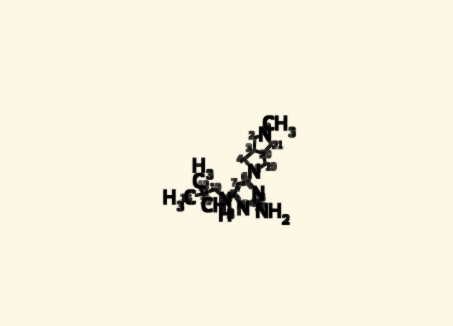 CN1CC2CN(c3cc(NCC(C)(C)C)nc(N)n3)CC2C1